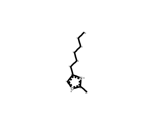 CCCCCCc1coc(C)n1